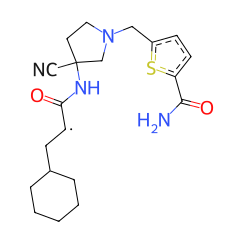 N#CC1(NC(=O)[CH]CC2CCCCC2)CCN(Cc2ccc(C(N)=O)s2)C1